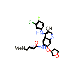 CNC/C=C/C(=O)Nc1cc2c(Nc3ccc(F)c(Cl)c3)c(C#N)cnc2cc1OC1CCOC1